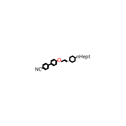 CCCCCCC[C@H]1CC[C@H](/C=C/COc2ccc(-c3ccc(C#N)cc3)cc2)CC1